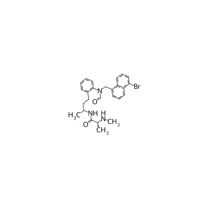 CN[C@@H](C)C(=O)NC(C)CCc1ccccc1N(C=O)Cc1cccc2c(Br)cccc12